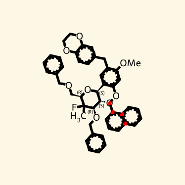 COc1cc(OCc2ccccc2)c([C@@H]2O[C@H](COCc3ccccc3)C(C)(F)[C@H](OCc3ccccc3)[C@H]2OCc2ccccc2)cc1Cc1ccc2c(c1)OCCO2